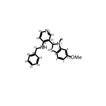 COc1ccc2c(c1)N(C)C(c1cnccc1NCc1ccccc1)S2